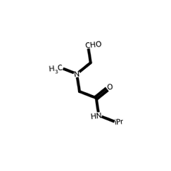 CC(C)NC(=O)CN(C)CC=O